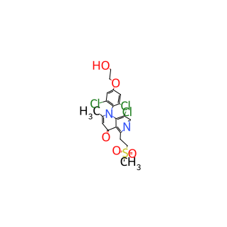 Cc1cc(=O)c2c(CCS(C)(=O)=O)ncc(Cl)c2n1-c1c(Cl)cc(OCCO)cc1Cl